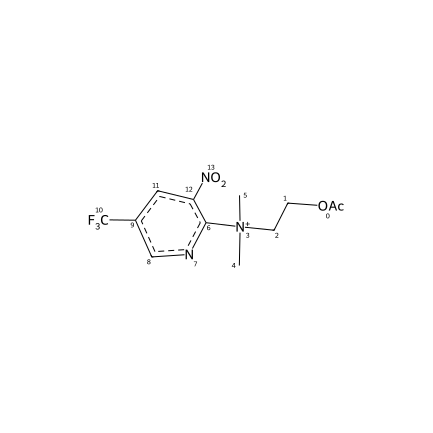 CC(=O)OCC[N+](C)(C)c1ncc(C(F)(F)F)cc1[N+](=O)[O-]